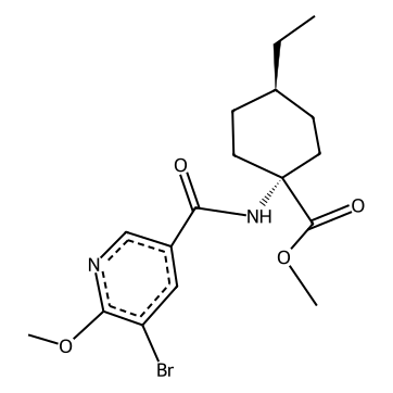 CC[C@H]1CC[C@@](NC(=O)c2cnc(OC)c(Br)c2)(C(=O)OC)CC1